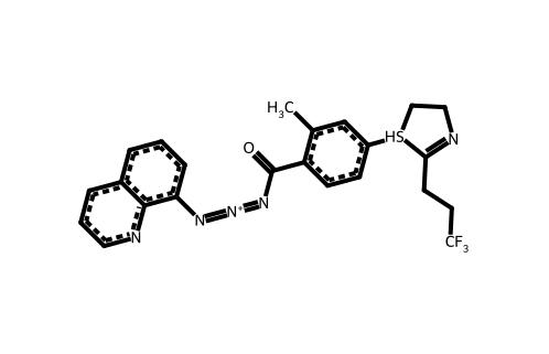 Cc1cc([SH]2CCN=C2CCC(F)(F)F)ccc1C(=O)N=[N+]=Nc1cccc2cccnc12